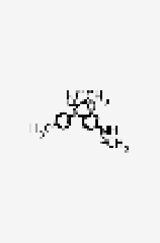 CSNc1ccc2c(c1)OC(C)(C)C(=O)N2c1ccc(C)cc1